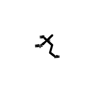 CCCCCC[C@@](C)(O)C(=O)O